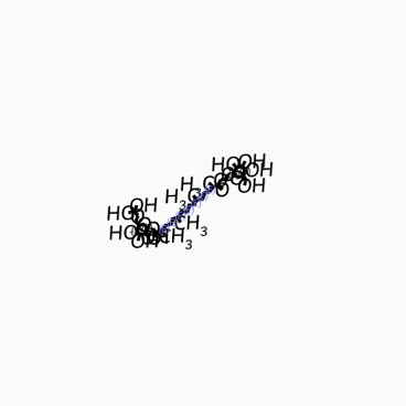 CC(/C=C/C=C(\C)C(=O)OCO[C@@H]1OC(CO)[C@@H](O)C(O)C1O)=C\C=C\C=C(C)\C=C\C=C(/C)C(=O)O[C@@H]1OC(COC(O)O)[C@@H](O)C(O)C1O